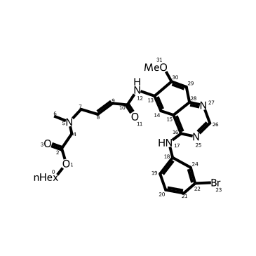 CCCCCCOC(=O)CN(C)C/C=C/C(=O)Nc1cc2c(Nc3cccc(Br)c3)ncnc2cc1OC